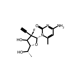 C#C[C@@]1(F)C(O)[C@@H]([C@H](C)O)O[C@H]1n1c(C)cc(N)nc1=O